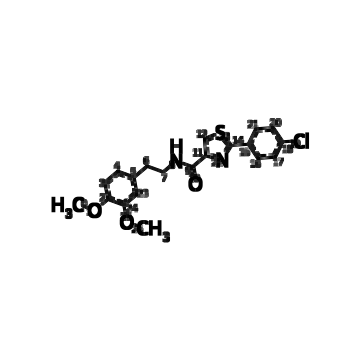 COc1ccc(CCNC(=O)c2csc(-c3ccc(Cl)cc3)n2)cc1OC